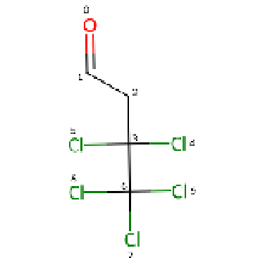 O=CCC(Cl)(Cl)C(Cl)(Cl)Cl